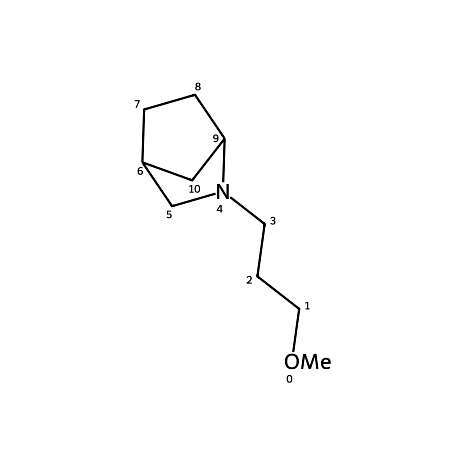 COCCCN1CC2CCC1C2